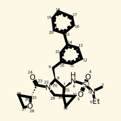 CCN(C)S(=O)(=O)N[C@@H]1[C@H](Cc2cccc(-c3ccccc3)c2)N(C(=O)[C@H]2CCO2)CC12CC2